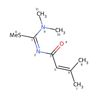 CSC(=NC(=O)C=C(C)C)N(C)C